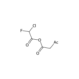 CC(=O)CC(=O)OC(=O)C(F)Cl